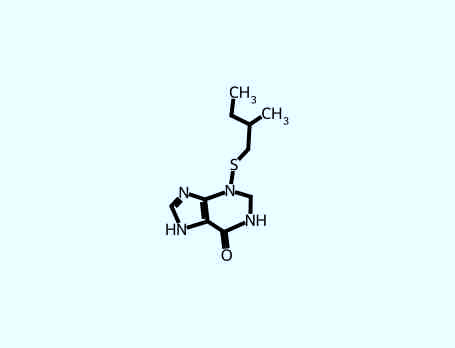 CCC(C)CSN1CNC(=O)c2[nH]cnc21